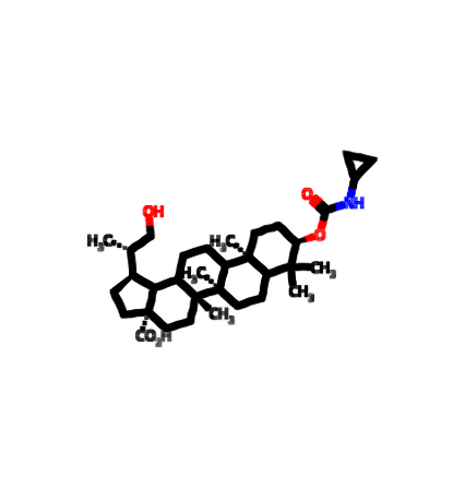 C[C@H](CO)[C@@H]1CC[C@]2(C(=O)O)CC[C@]3(C)C(CCC4[C@@]5(C)CC[C@@H](OC(=O)NC6CC6)C(C)(C)C5CC[C@]43C)C12